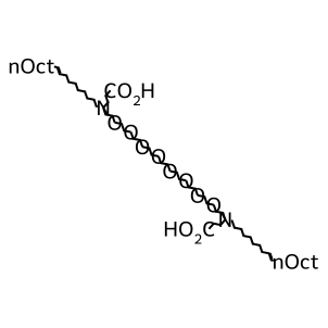 CCCCCCCCC=CCCCCCCCCN(CCOCCOCCOCCOCCOCCOCCOCCOCCN(CCCCCCCCC=CCCCCCCCC)CCC(=O)O)CCC(=O)O